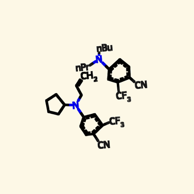 C=CCN(c1ccc(C#N)c(C(F)(F)F)c1)C1CCCC1.CCCCN(CCC)c1ccc(C#N)c(C(F)(F)F)c1